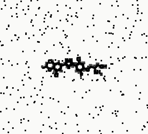 CC(C)Oc1c(Cl)cc(-c2nnc(-c3cc(F)c(OC[C@H](N)CO)cc3Cl)s2)cc1Cl